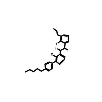 CCCCCc1ccc(-c2cccc(C(F)C(F)c3cccc(CCC)c3F)c2F)cc1